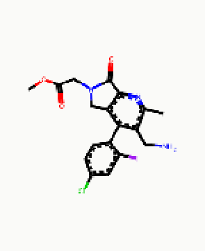 COC(=O)CN1Cc2c(nc(C)c(CN)c2-c2ccc(Cl)cc2I)C1=O